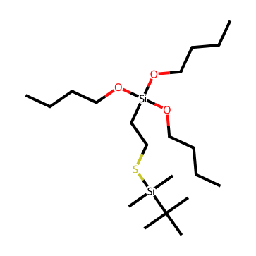 CCCCO[Si](CCS[Si](C)(C)C(C)(C)C)(OCCCC)OCCCC